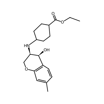 CCOC(=O)C1CCC(N[C@@H]2COc3cc(C)ccc3[C@@H]2O)CC1